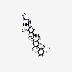 C/N=C\C=N/Nc1ncc(NC(=O)c2cc(I)c(-c3ccc(F)cc3N)cc2F)cc1Cl